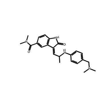 CC(C=C1C(=O)Nc2ccc(C(=O)N(C)C)cc21)Nc1ccc(CN(C)C)cc1